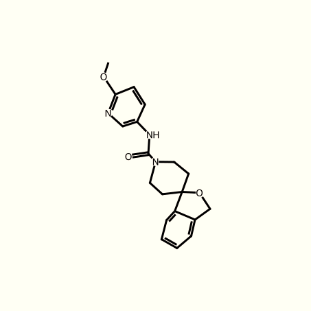 COc1ccc(NC(=O)N2CCC3(CC2)OCc2ccccc23)cn1